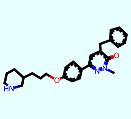 Cn1nc(-c2ccc(OCCCC3CCCNC3)cc2)cc(Cc2ccccc2)c1=O